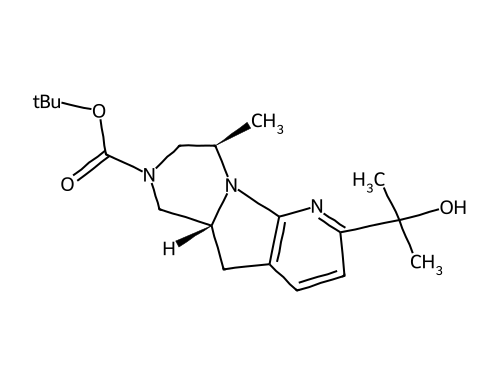 C[C@@H]1CN(C(=O)OC(C)(C)C)C[C@H]2Cc3ccc(C(C)(C)O)nc3N21